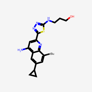 CC(C)(C)c1cc(C2CC2)cc2c(N)cc(-c3nnc(NCCCO)s3)nc12